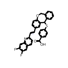 O=C(O)c1ccc(SC2c3ccccc3COc3ccc(/C=C/c4ccc5cc(F)c(F)cc5n4)cc32)cc1